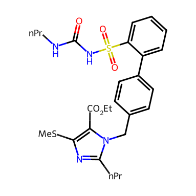 CCCNC(=O)NS(=O)(=O)c1ccccc1-c1ccc(Cn2c(CCC)nc(SC)c2C(=O)OCC)cc1